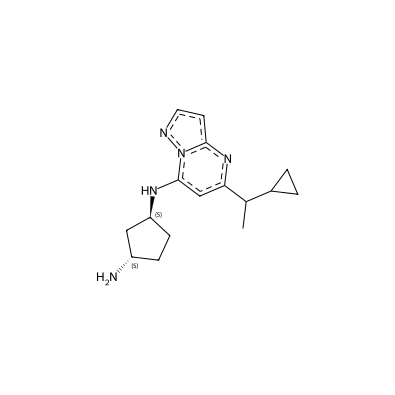 CC(c1cc(N[C@H]2CC[C@H](N)C2)n2nccc2n1)C1CC1